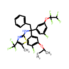 Cc1sc(NC(Cc2ccccc2)(c2cc(F)cc(OC(F)(F)C(F)F)c2)c2ccc(F)c(OC(C)C)c2)nc1C(F)(F)F